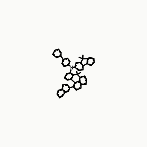 CC1(C)c2ccccc2-c2ccc(N(c3ccc(-c4ccccc4)cc3)c3cccc4c3C(C)(C)c3cccc5ccc(-c6ccc7ccccc7c6)c-4c35)cc21